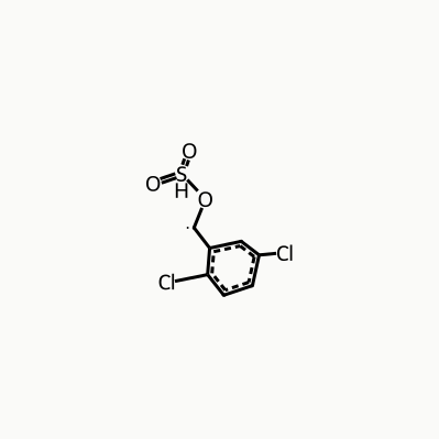 O=[SH](=O)O[CH]c1cc(Cl)ccc1Cl